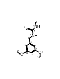 CNC(=S)NCc1cc(OC)cc(OC)c1